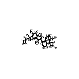 Cc1c(F)c(C(C)NC2(C)CCC2)cc2c(=O)c(-c3cccc([C@]4(c5nncn5C)C[C@@H](C)C4)c3)coc12